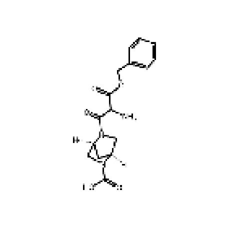 NC(C(=O)OCc1ccccc1)C(=O)N1C[C@@H]2C[C@H]1CN2C(=O)O